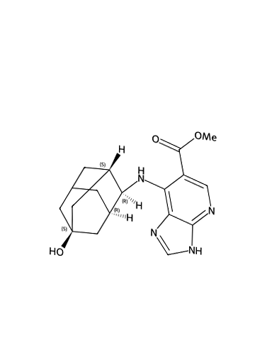 COC(=O)c1cnc2[nH]cnc2c1N[C@H]1[C@@H]2CC3C[C@H]1C[C@@](O)(C3)C2